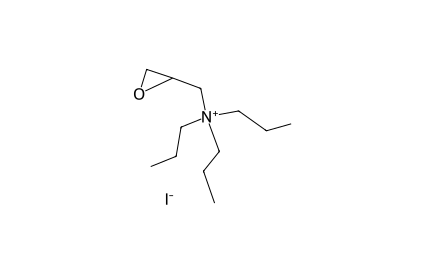 CCC[N+](CCC)(CCC)CC1CO1.[I-]